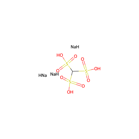 O=S(=O)(O)C(S(=O)(=O)O)S(=O)(=O)O.[NaH].[NaH].[NaH]